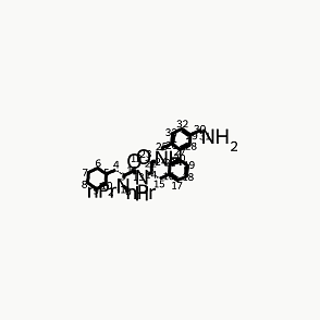 CCCN(CCC)[C@H](CC1CCCCC1)C(=O)N[C@@H](Cc1ccccc1)C(=O)NCc1ccc(CN)cc1